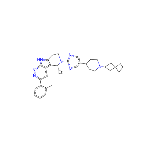 CC[C@@H]1c2c([nH]c3nnc(-c4ccccc4C)cc23)CCN1c1ncc(C2CCN(C3CC4(CCC4)C3)CC2)cn1